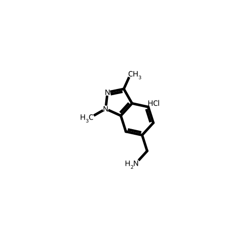 Cc1nn(C)c2cc(CN)ccc12.Cl